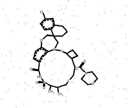 CC1CCC[C@@H](C(=O)N2CCOCC2)C2CCC2CN2CC3(CCCc4cc(Cl)ccc43)COc3ccc(cc32)C(=O)NS(=O)(=O)C1C